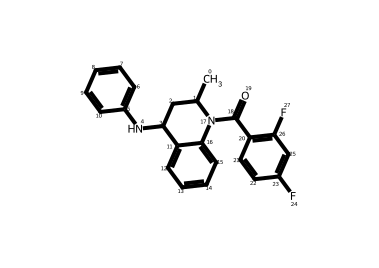 CC1CC(Nc2ccccc2)c2ccccc2N1C(=O)c1ccc(F)cc1F